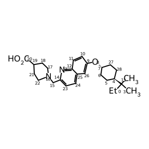 CCC(C)(C)[C@H]1CC[C@H](Oc2ccc3nc(CN4CCC(C(=O)O)CC4)ccc3c2)CC1